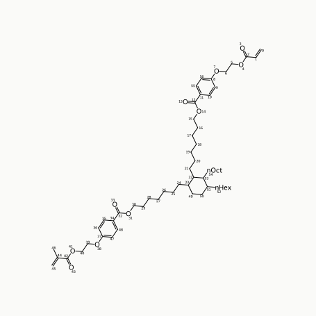 C=CC(=O)OCCOc1ccc(C(=O)OCCCCCCCC2C(CCCCCCCOC(=O)c3ccc(OCCOC(=O)C(=C)C)cc3)CCC(CCCCCC)C2CCCCCCCC)cc1